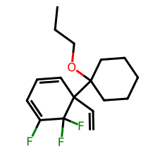 C=CC1(C2(OCCC)CCCCC2)C=CC=C(F)C1(F)F